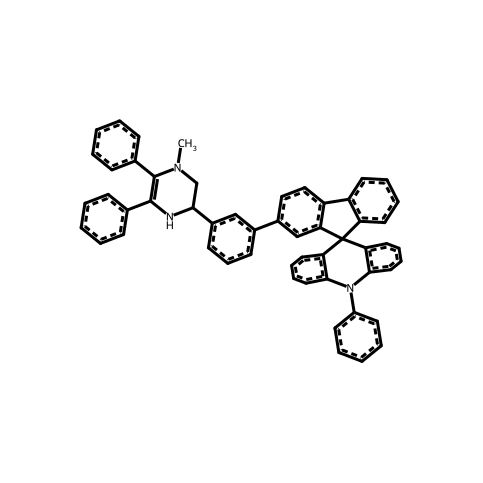 CN1CC(c2cccc(-c3ccc4c(c3)C3(c5ccccc5-4)c4ccccc4N(c4ccccc4)c4ccccc43)c2)NC(c2ccccc2)=C1c1ccccc1